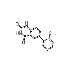 Cc1ccncc1-c1ccc2[nH]c(=O)[nH]c(=O)c2c1